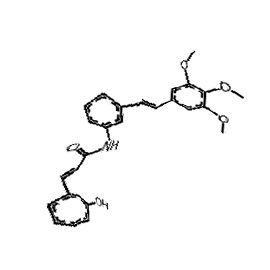 COc1cc(C=Cc2cccc(NC(=O)/C=C/c3ccccc3O)c2)cc(OC)c1OC